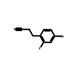 N#CCCc1ccc(Br)cc1F